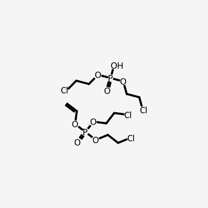 C=COP(=O)(OCCCl)OCCCl.O=P(O)(OCCCl)OCCCl